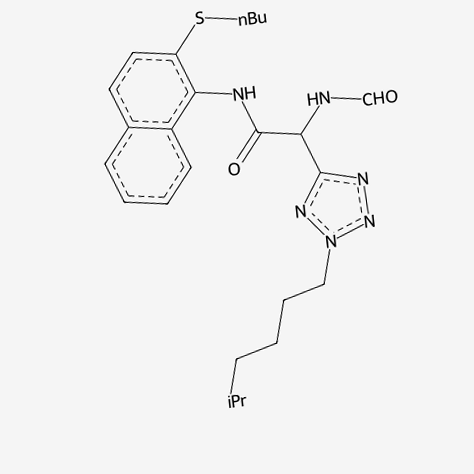 CCCCSc1ccc2ccccc2c1NC(=O)C(NC=O)c1nnn(CCCCC(C)C)n1